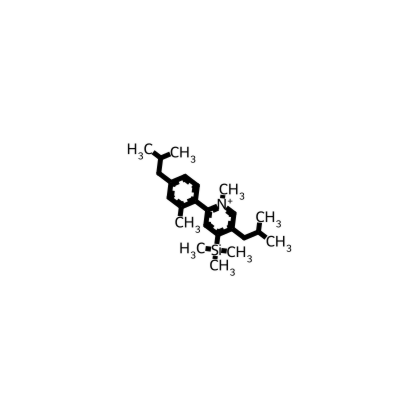 Cc1cc(CC(C)C)ccc1-c1cc([Si](C)(C)C)c(CC(C)C)c[n+]1C